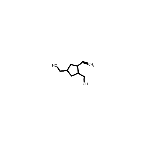 C=CC1CC(CO)CC1CO